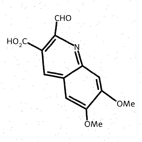 COc1cc2cc(C(=O)O)c(C=O)nc2cc1OC